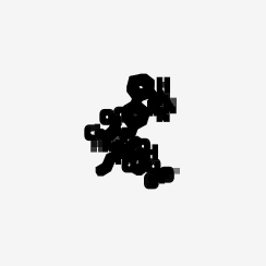 CCCCC1([C@H]2CO[C@H]3[C@@H]2OC[C@H]3O[N+](=O)[O-])NC(Cl)=C(C(=O)O)N1Cc1ccc(-c2ccccc2-c2nnn[nH]2)cc1